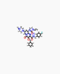 CC(C)N1CCN(c2cc(N3CCN(C)CC3)cn3c(=O)c(OCc4ccccc4)c(C(=O)NCc4ccc(F)cc4)nc23)C1=O